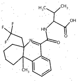 CC(C)C(NC(=O)C1=NC2(CC(F)(F)F)CCCCC2(C)c2ccccc21)C(=O)O